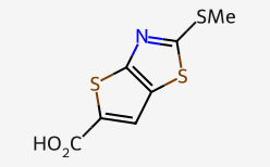 CSc1nc2sc(C(=O)O)cc2s1